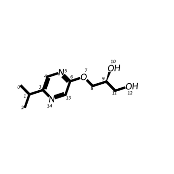 CC(C)c1cnc(OC[C@@H](O)CO)cn1